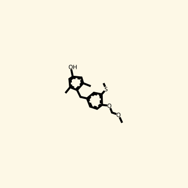 COCOc1ccc(Cc2c(C)cc(O)cc2C)cc1SC